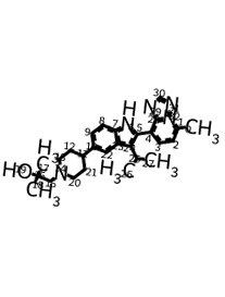 Cc1ccc(-c2[nH]c3ccc(C4CCN(CC(C)(C)O)CC4)cc3c2C(C)C)c2ncnn12